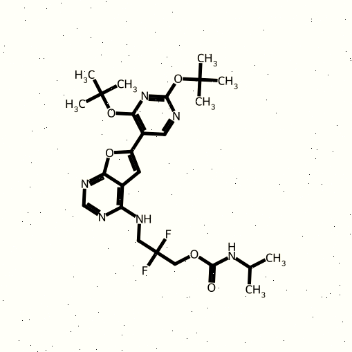 CC(C)NC(=O)OCC(F)(F)CNc1ncnc2oc(-c3cnc(OC(C)(C)C)nc3OC(C)(C)C)cc12